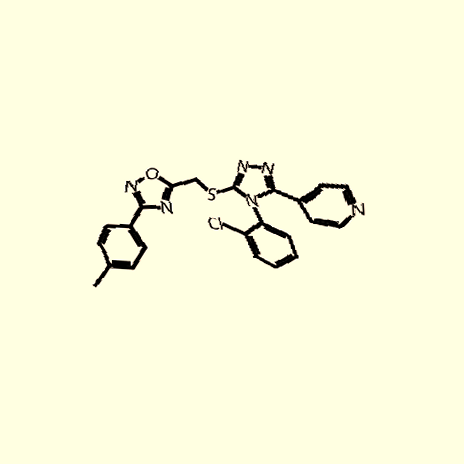 Cc1ccc(-c2noc(CSc3nnc(-c4ccncc4)n3-c3ccccc3Cl)n2)cc1